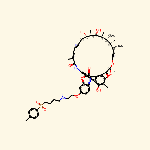 CO[C@H]1/C=C/O[C@@]2(C)Oc3c(C)c(O)c4c(=O)c(c5oc6cc(OCCNCCCCS(=O)(=O)c7ccc(C)cc7)ccc6nc-5c4c3C2=O)NC(=O)/C(C)=C\C=C\[C@H](C)[C@H](O)[C@@H](C)[C@@H](O)[C@@H](C)[C@H](OC(C)=O)[C@@H]1C